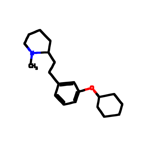 CN1CCCCC1CCc1cccc(OC2CCCCC2)c1